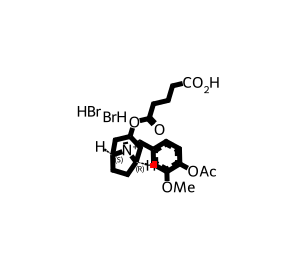 Br.Br.COc1cc(C[N+]2(C)[C@@H]3CC[C@H]2CC(OC(=O)CCCC(=O)O)C3)ccc1OC(C)=O